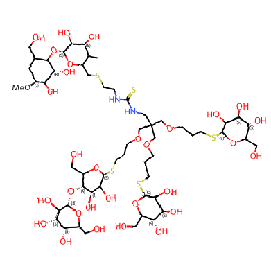 CO[C@H]1CC(CO)C(O[C@H]2OC(CSCCNC(=S)NCC(COCCCS[C@@H]3OC(CO)[C@@H](O)[C@H](O)C3O)(COCCCS[C@@H]3OC(CO)[C@@H](O)[C@H](O)C3O)COCCCS[C@@H]3OC(CO)[C@@H](O[C@@H]4OC(CO)[C@H](O)[C@H](O)C4O)[C@H](O)C3O)C(C)[C@H](O)C2O)[C@H](O)C1O